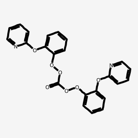 O=C(OOc1ccccc1Oc1ccccn1)OOc1ccccc1Oc1ccccn1